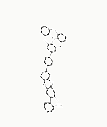 Cc1ccccc1B(c1ccccc1C)c1c(C)cc(-c2ccc(-c3ccc4nc5cc(-c6ccccc6O)c(C)cc5nc4c3)cc2)cc1C